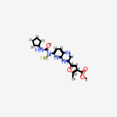 COC(=O)c1cc(-c2cnc3ccc(N(S)C(=O)NC4CCCC4)nc3n2)oc1C